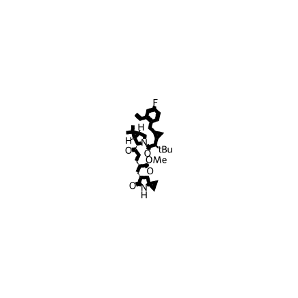 C=Cc1cc(F)ccc1CC1CC1[C@H](C(=O)N1C[C@H]2[C@@H]([C@H]1C(=O)CC[C@@H](C[C@@H]1CC3(CC3)NC1=O)C(=O)OC)C2(C)C)C(C)(C)C